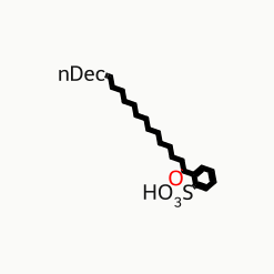 CCCCCCCCCCCCCCCCCCCCCCCC(=O)c1ccccc1S(=O)(=O)O